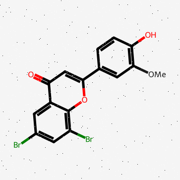 COc1cc(-c2cc(=O)c3cc(Br)cc(Br)c3o2)ccc1O